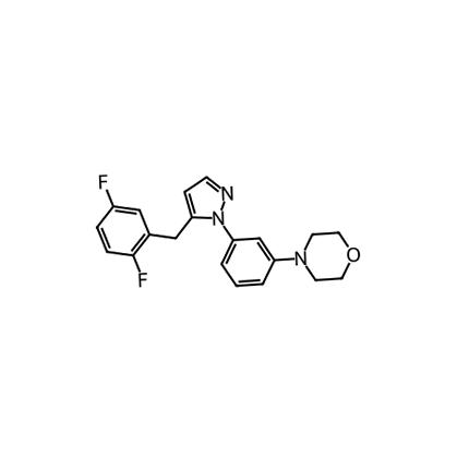 Fc1ccc(F)c(Cc2ccnn2-c2cccc(N3CCOCC3)c2)c1